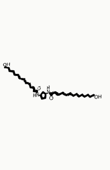 O=C(/C=C/CCCCCCCCCCCO)N[C@@H]1CC[C@H](NC(=O)/C=C/CCCCCCCCCCCO)C1